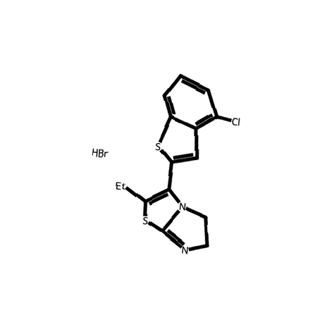 Br.CCC1=C(c2cc3c(Cl)cccc3s2)N2CCN=C2S1